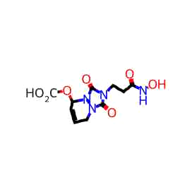 O=C(CCn1c(=O)n2n(c1=O)C(OC(=O)O)C=CC2)NO